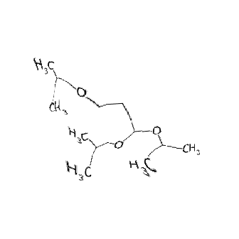 CC(C)OCCC(OC(C)C)OC(C)C